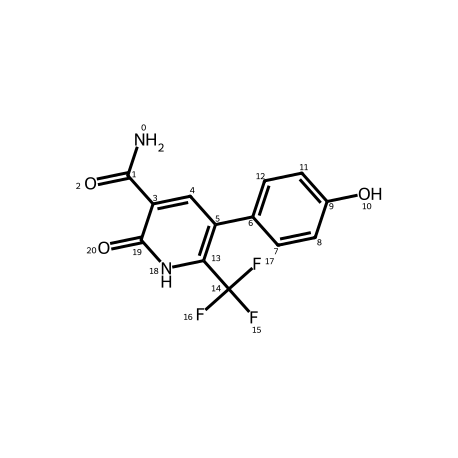 NC(=O)c1cc(-c2ccc(O)cc2)c(C(F)(F)F)[nH]c1=O